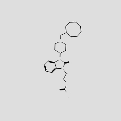 O=C(NCCn1c(=O)n(C2CCN(CC3CCCCCCC3)CC2)c2ccccc21)C(F)(F)F